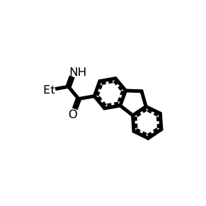 CCC(=N)C(=O)c1ccc2c(c1)-c1ccccc1C2